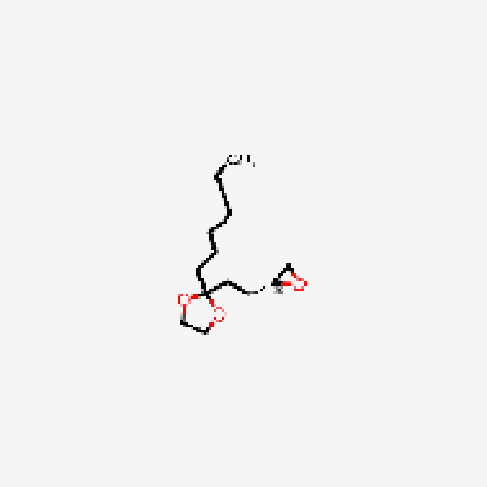 CCCCCCC1(CC[C@@H]2CO2)OCCO1